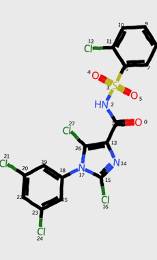 O=C(NS(=O)(=O)c1ccccc1Cl)c1nc(Cl)n(-c2cc(Cl)cc(Cl)c2)c1Cl